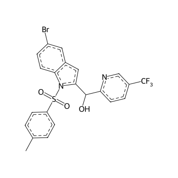 Cc1ccc(S(=O)(=O)n2c(C(O)c3ccc(C(F)(F)F)cn3)cc3cc(Br)ccc32)cc1